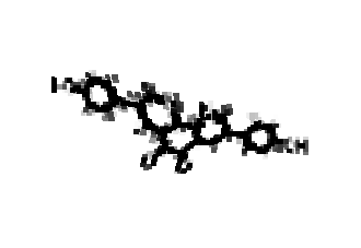 O=C1C(=O)c2cc(-c3ccc(O)cc3)cnc2-c2ncc(-c3ccc(O)cc3)cc21